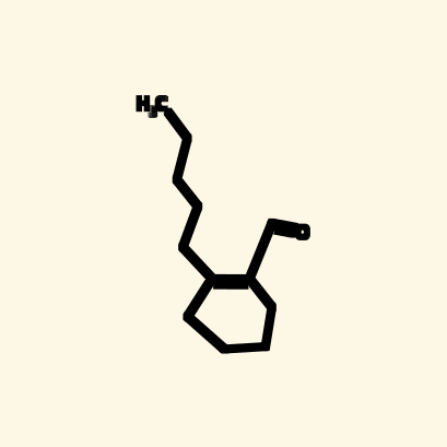 CCCCCC1=C(C=O)CCCC1